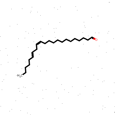 CCCCCC=CC/C=C\CCCCCCCCCCCC=O